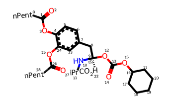 CCCCCC(=O)Oc1ccc(C[C@](NC(C)C)(OC(=O)OC2CCCCC2)C(=O)O)cc1OC(=O)CCCCC